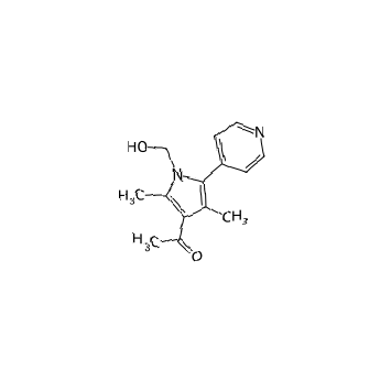 CC(=O)c1c(C)c(-c2ccncc2)n(CO)c1C